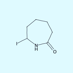 O=C1CCCCC(I)N1